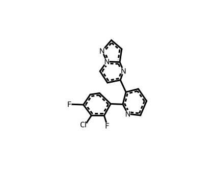 Fc1ccc(-c2ncccc2-c2ccn3nccc3n2)c(F)c1Cl